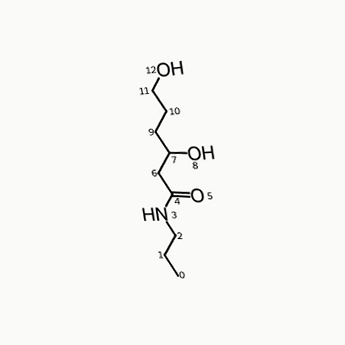 CCCNC(=O)CC(O)CCCO